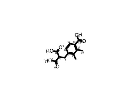 Cc1c(CC(C(=O)O)C(=O)O)ccc(C(=O)O)c1C